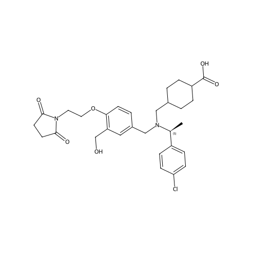 C[C@@H](c1ccc(Cl)cc1)N(Cc1ccc(OCCN2C(=O)CCC2=O)c(CO)c1)CC1CCC(C(=O)O)CC1